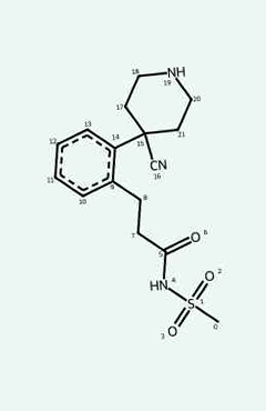 CS(=O)(=O)NC(=O)CCc1ccccc1C1(C#N)CCNCC1